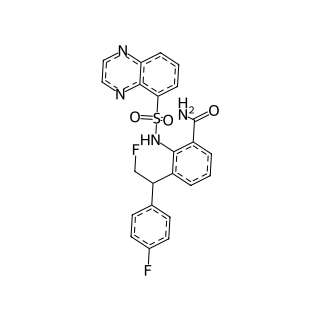 NC(=O)c1cccc(C(CF)c2ccc(F)cc2)c1NS(=O)(=O)c1cccc2nccnc12